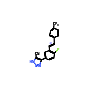 N#Cc1[nH]nnc1-c1ccc(F)c(/C=C/c2ccc(C(F)(F)F)cc2)c1